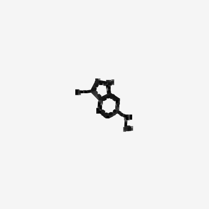 CCCCNc1cnc2c(Br)n[nH]c2c1